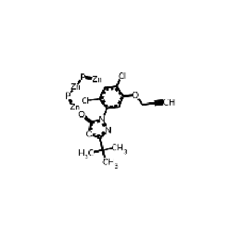 C#CCOc1cc(-n2nc(C(C)(C)C)oc2=O)c(Cl)cc1Cl.[Zn]=[P][Zn][P]=[Zn]